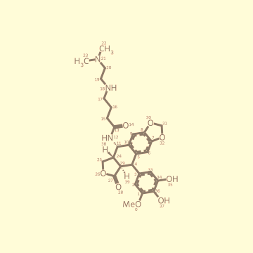 COc1cc(C2c3cc4c(cc3[C@@H](NC(=O)CCCNCCN(C)C)[C@H]3COC(=O)[C@H]23)OCO4)cc(O)c1O